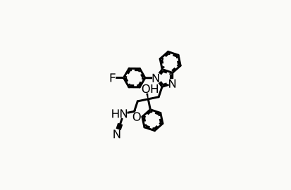 N#CNC(=O)C[C@](O)(Cc1nc2ccccc2n1-c1ccc(F)cc1)c1ccccc1